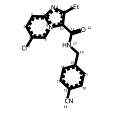 CCc1nc2ccc(Cl)cn2c1C(=O)NCc1ccc(C#N)cc1